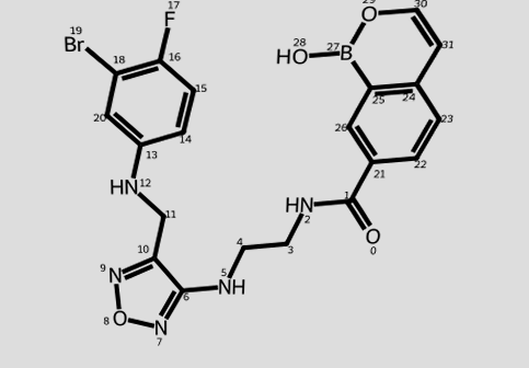 O=C(NCCNc1nonc1CNc1ccc(F)c(Br)c1)c1ccc2c(c1)B(O)OC=C2